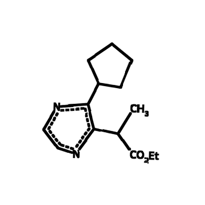 CCOC(=O)C(C)c1nccnc1C1CCCC1